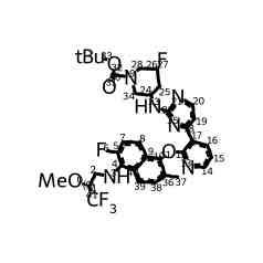 CO[C@@H](CNc1c(F)ccc2c(Oc3ncccc3-c3ccnc(NC4CC(F)CN(C(=O)OC(C)(C)C)C4)n3)c(C)ccc12)C(F)(F)F